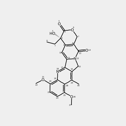 CC[C@@]1(O)C(=O)OCc2c1cc1n(c2=O)Cc2c-1nc1c(OC)ccc(OC)c1c2C